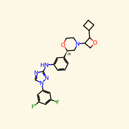 Fc1cc(F)cc(-n2cnc(Nc3cccc([C@@H]4CN(C5COC5C5CCC5)CCO4)c3)n2)c1